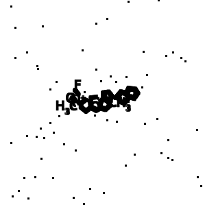 C[C@]12CC=C3C=C4CC[C@H]([N+](C)([O-])CCF)C[C@]45CC[C@]3(O5)[C@@H]1CC[C@@H]2c1ccc2ccccc2c1